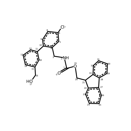 O=C(NCc1cc(Cl)ccc1-c1cccc(CO)c1)OCC1c2ccccc2-c2ccccc21